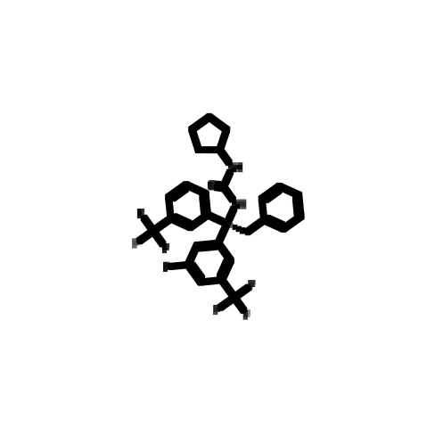 O=C(NC1CCCC1)N[C@](Cc1ccccc1)(c1cccc(C(F)(F)F)c1)c1cc(F)cc(C(F)(F)F)c1